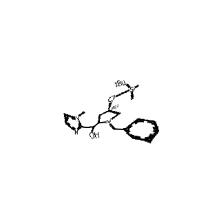 Cn1ccnc1C(O)C1C[C@@H](O[Si](C)(C)C(C)(C)C)CN1Cc1ccccc1